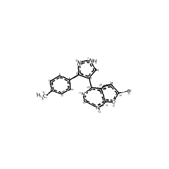 Cc1ccc(-c2n[nH]cc2-c2ncnc3oc(Br)cc23)cc1